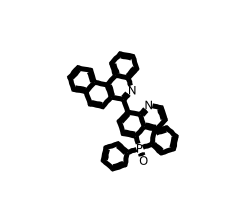 O=P(c1ccccc1)(c1ccccc1)c1ccc(-c2nc3ccccc3c3c2ccc2ccccc23)c2ncccc12